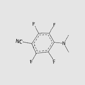 CN(C)c1c(F)c(F)c(C#N)c(F)c1F